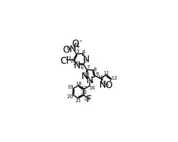 O=[N+]([O-])c1cnc(-c2cc(-c3ccon3)n(Cc3ccccc3F)n2)nc1Cl